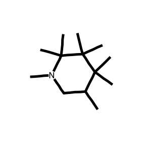 CC1CN(C)C(C)(C)C(C)(C)C1(C)C